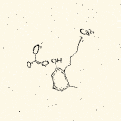 CCCCc1c(C)cccc1O.O=C([O-])[O-].[Ca+2]